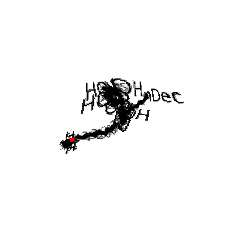 CCCCCCCCCCCCCCC[C@@H](O)[C@H](COC1OC(CO)C(O)C(O)C1O)N=S(C)(=O)CCCCCCCCCC[C@H]1C[C@H]2C=C[C@@H]1C2